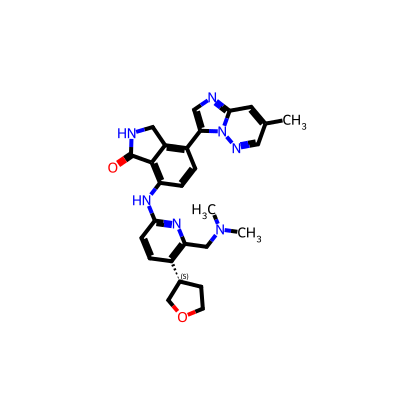 Cc1cnn2c(-c3ccc(Nc4ccc([C@@H]5CCOC5)c(CN(C)C)n4)c4c3CNC4=O)cnc2c1